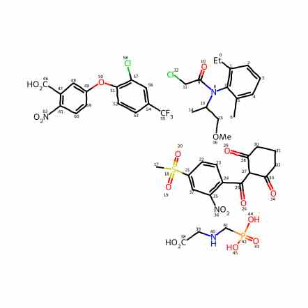 CCc1cccc(C)c1N(C(=O)CCl)C(C)COC.CS(=O)(=O)c1ccc(C(=O)C2C(=O)CCCC2=O)c([N+](=O)[O-])c1.O=C(O)CNCP(=O)(O)O.O=C(O)c1cc(Oc2ccc(C(F)(F)F)cc2Cl)ccc1[N+](=O)[O-]